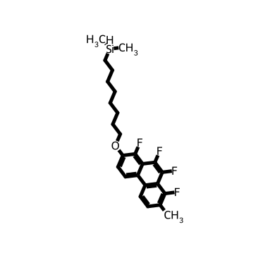 Cc1ccc2c(c1F)c(F)c(F)c1c(F)c(OCCCCCCCC[SiH](C)C)ccc12